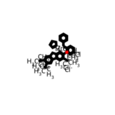 CC(C)(C)c1cc2c(cc1C(C)(C)C)-c1cc(C(C)(C)C)c(C(C)(C)C)[c](/[Zr+2]([C]3=CC=CC3)=[C](/c3ccccc3)c3ccc(Cl)cc3)c1C2.[Cl-].[Cl-]